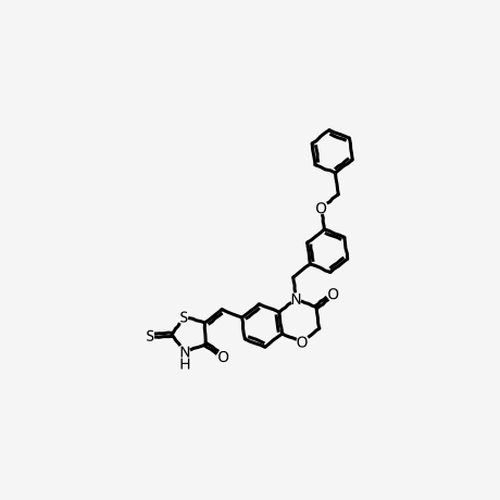 O=C1NC(=S)S/C1=C/c1ccc2c(c1)N(Cc1cccc(OCc3ccccc3)c1)C(=O)CO2